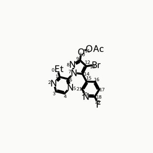 CCc1nccnc1-n1nc(OOC(C)=O)c(Br)c1-c1ccc(F)nc1